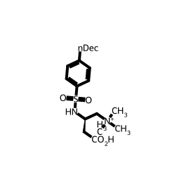 CCCCCCCCCCc1ccc(S(=O)(=O)N[C@H](CC(=O)O)C[N+](C)(C)C)cc1